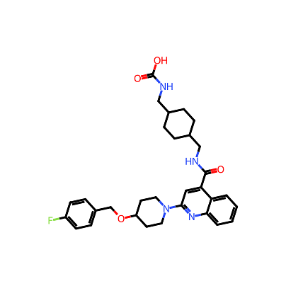 O=C(O)NCC1CCC(CNC(=O)c2cc(N3CCC(OCc4ccc(F)cc4)CC3)nc3ccccc23)CC1